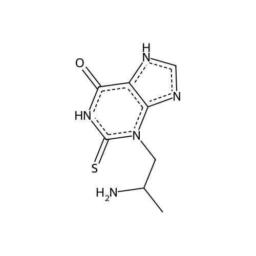 CC(N)Cn1c(=S)[nH]c(=O)c2[nH]cnc21